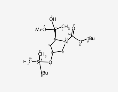 COC(C)(O)[C@@H]1CC(O[Si](C)(C)C(C)(C)C)CN1C(=O)OC(C)(C)C